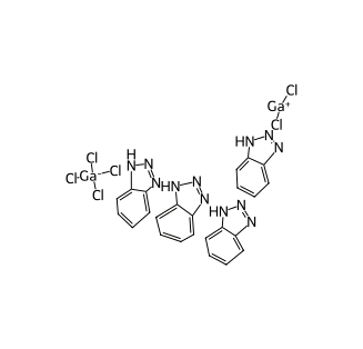 [Cl][Ga+][Cl].[Cl][Ga-]([Cl])([Cl])[Cl].c1ccc2[nH]nnc2c1.c1ccc2[nH]nnc2c1.c1ccc2[nH]nnc2c1.c1ccc2[nH]nnc2c1